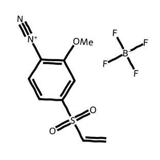 C=CS(=O)(=O)c1ccc([N+]#N)c(OC)c1.F[B-](F)(F)F